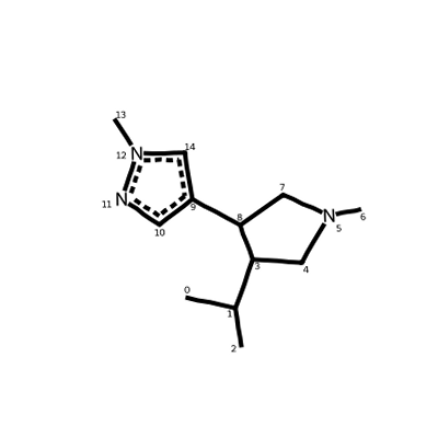 CC(C)C1CN(C)CC1c1cnn(C)c1